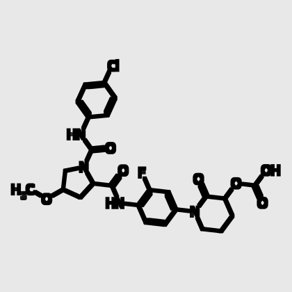 COC1CC(C(=O)Nc2ccc(N3CCCC(OC(=O)O)C3=O)cc2F)N(C(=O)Nc2ccc(Cl)cc2)C1